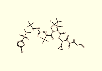 C=CCNC(=O)C(=O)C(NC(=O)[C@@H]1[C@@H]2[C@H](CN1C(=O)[C@@H](NC(=O)N[C@H](CN(C)S(=O)(=O)c1ccc(Br)s1)C(C)(C)C)C(C)(C)C)C2(C)C)C1CC1